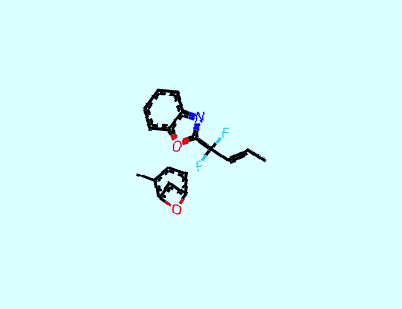 CC=CC(F)(F)c1nc2ccccc2o1.Cc1ccc2cc1O2